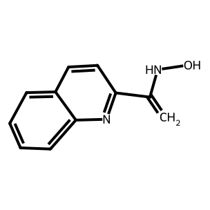 C=C(NO)c1ccc2ccccc2n1